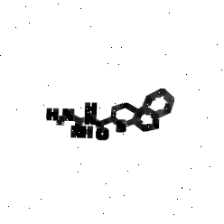 N=C(N)NC(=O)C1CCc2c(ccc3ccccc23)S1